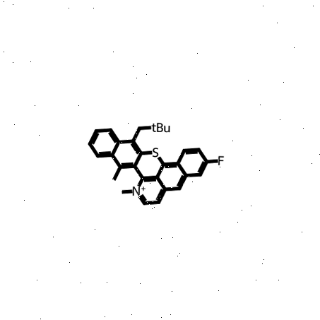 Cc1c2c(c(CC(C)(C)C)c3ccccc13)Sc1c3ccc(F)cc3cc3cc[n+](C)c-2c13